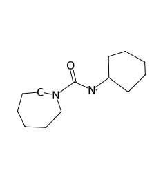 O=C([N]C1CCCCC1)N1CCCCCC1